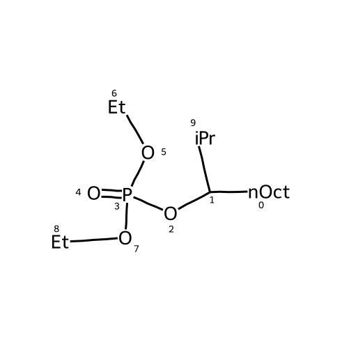 CCCCCCCCC(OP(=O)(OCC)OCC)C(C)C